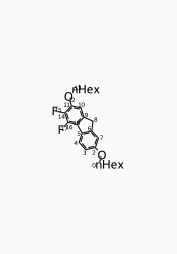 CCCCCCOc1ccc2c(c1)Cc1cc(OCCCCCC)c(F)c(F)c1-2